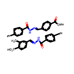 COC(=O)c1ccc(C=NNC(=O)c2ccc(C(C)C)cc2)cc1.Cc1cc(C=NNC(=O)c2ccc(C(C)C)cc2)ccc1C(=O)O